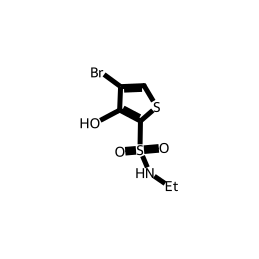 CCNS(=O)(=O)c1scc(Br)c1O